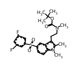 Cc1c(CCN(C)C(=O)OC(C)(C)C)c2cc(S(=O)(=O)c3cc(F)cc(F)c3)ccc2n1C